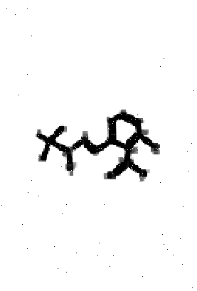 CC(C)(C)[S+]([O-])/N=C/c1cccc(Br)c1[N+](=O)[O-]